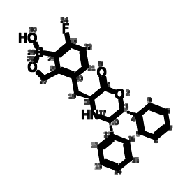 O=C1O[C@H](c2ccccc2)[C@H](c2ccccc2)N[C@H]1Cc1ccc(F)c2c1COB2O